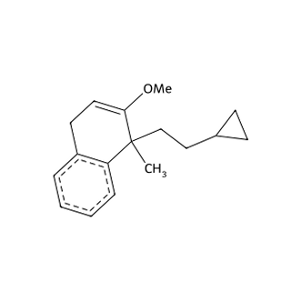 COC1=CCc2ccccc2C1(C)CCC1CC1